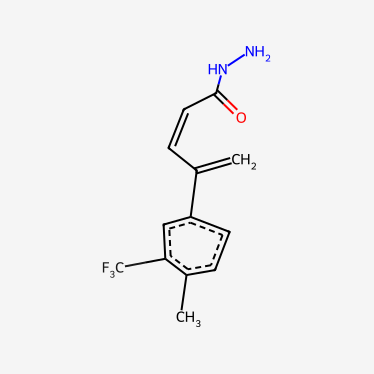 C=C(/C=C\C(=O)NN)c1ccc(C)c(C(F)(F)F)c1